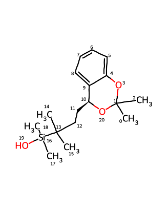 CC1(C)Oc2ccccc2[C@H](CCC(C)(C)[Si](C)(C)O)O1